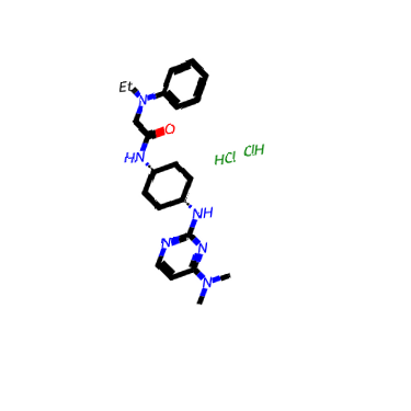 CCN(CC(=O)N[C@H]1CC[C@@H](Nc2nccc(N(C)C)n2)CC1)c1ccccc1.Cl.Cl